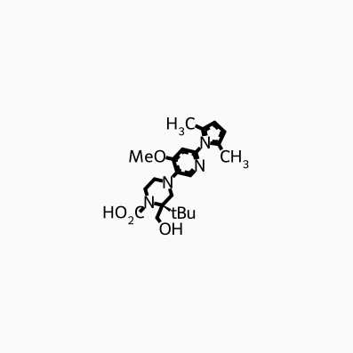 COc1cc(-n2c(C)ccc2C)ncc1N1CCN(C(=O)O)[C@](CO)(C(C)(C)C)C1